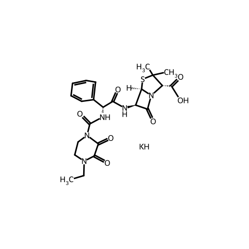 CCN1CCN(C(=O)N[C@@H](C(=O)N[C@@H]2C(=O)N3[C@@H]2SC(C)(C)[C@@H]3C(=O)O)c2ccccc2)C(=O)C1=O.[KH]